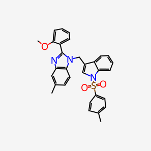 COc1ccccc1-c1nc2cc(C)ccc2n1Cc1cn(S(=O)(=O)c2ccc(C)cc2)c2ccccc12